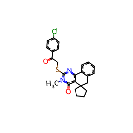 Cn1c(SCC(=O)c2ccc(Cl)cc2)nc2c(c1=O)C1(CCCC1)Cc1ccccc1-2